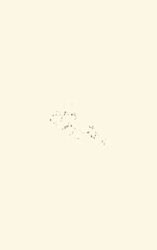 CSc1ncc2c(n1)N1CCC[C@H]1CN(c1cccc(-c3noc(CO)n3)c1)C2=O